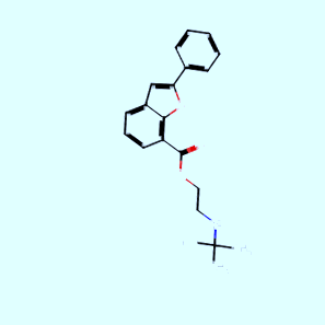 CC(C)(C)NCCOC(=O)c1cccc2cc(-c3ccccc3)oc12